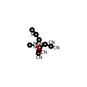 N#Cc1ccc(-c2ccc3c(c2)c2cc(-c4ccc(C#N)cc4C#N)ccc2n3-c2ccc(-c3ccc4c(c3)sc3ccccc34)cc2-c2nc(-c3ccccc3)nc(-c3ccccc3)n2)c(C#N)c1